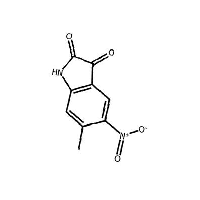 Cc1cc2c(cc1[N+](=O)[O-])C(=O)C(=O)N2